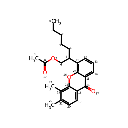 CCCCCC(COC(C)=O)c1cccc2c(=O)c3ccc(C)c(C)c3oc12